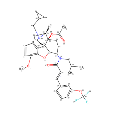 COc1ccc2c3c1OC1C(N(CC(C)C)C(=O)/C=C/c4cccc(OC(F)(F)F)c4)CC[C@@]4(OC(C)=O)[C@@H](C2)N(CC2CC2)CC[C@]314